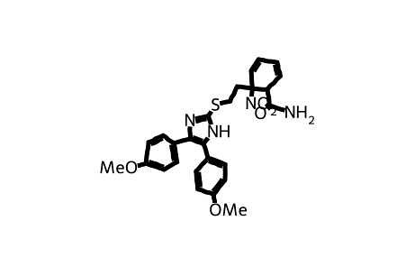 COc1ccc(-c2nc(SCCC3([N+](=O)[O-])C=CC=CC3C(N)=O)[nH]c2-c2ccc(OC)cc2)cc1